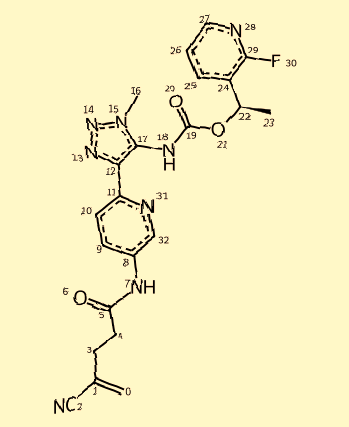 C=C(C#N)CCC(=O)Nc1ccc(-c2nnn(C)c2NC(=O)O[C@H](C)c2cccnc2F)nc1